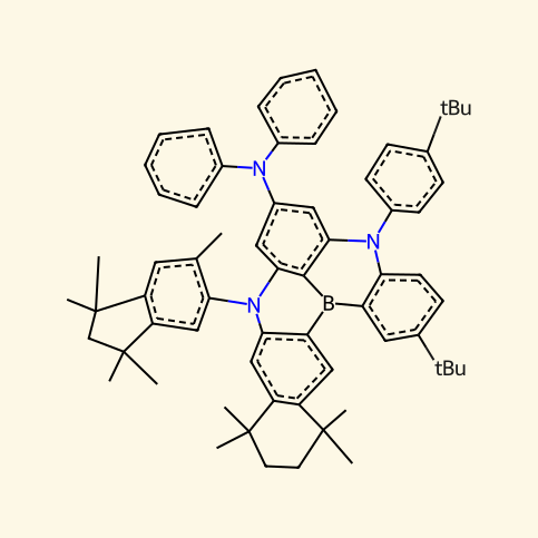 Cc1cc2c(cc1N1c3cc4c(cc3B3c5cc(C(C)(C)C)ccc5N(c5ccc(C(C)(C)C)cc5)c5cc(N(c6ccccc6)c6ccccc6)cc1c53)C(C)(C)CCC4(C)C)C(C)(C)CC2(C)C